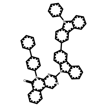 O=c1c2ccccc2c2cnc(-n3c4ccccc4c4cc(-c5ccc6c(c5)c5ccccc5n6-c5ccccc5)ccc43)nc2n1-c1ccc(-c2ccccc2)cc1